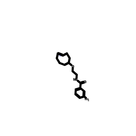 O=C(NCCOC1CC/C=C/CCC1)c1cccc([124I])c1